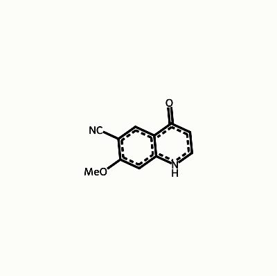 COc1cc2[nH]ccc(=O)c2cc1C#N